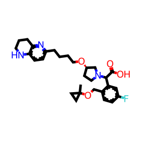 CC1(OCc2ccc(F)cc2C(C(=O)O)N2CC[C@@H](OCCCCc3ccc4c(n3)CCCN4)C2)CC1